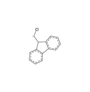 Cl[CH]C1c2ccccc2-c2ccccc21